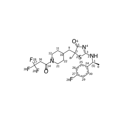 C[C@H](NC1=NC(=O)C(C)(CC2CCN(C(=O)CC(F)(F)F)CC2)S1)c1ccc(F)cc1